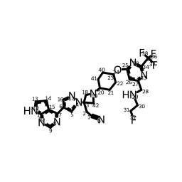 N#CCC1(n2cc(-c3ncnc4[nH]ccc34)cn2)CN(C2CCC(Oc3cc(CNCCF)nc(C(F)(F)F)n3)CC2)C1